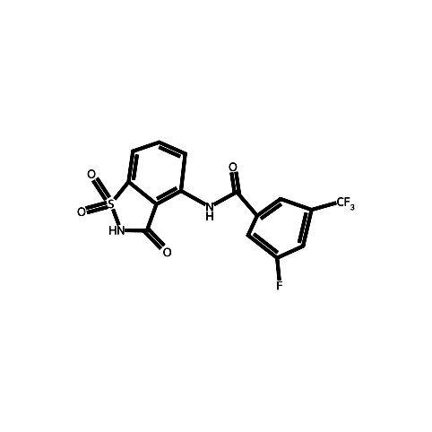 O=C(Nc1cccc2c1C(=O)NS2(=O)=O)c1cc(F)cc(C(F)(F)F)c1